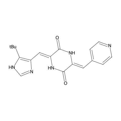 CC(C)(C)c1[nH]cnc1/C=c1\[nH]c(=O)/c(=C/c2ccncc2)[nH]c1=O